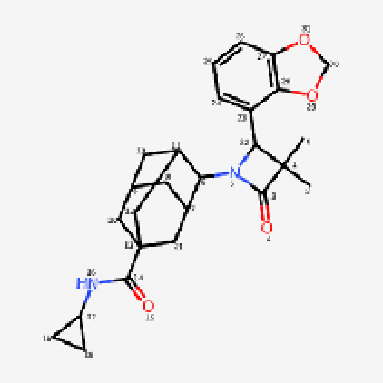 CC1(C)C(=O)N(C2C3CC4CC2CC(C(=O)NC2CC2)(C4)C3)C1c1cccc2c1OCO2